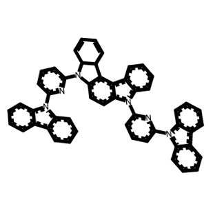 C1=CC2c3c(ccc4c3c3ccccc3n4-c3cccc(-n4c5ccccc5c5ccccc54)n3)N(c3cccc(-n4c5ccccc5c5ccccc54)n3)C2C=C1